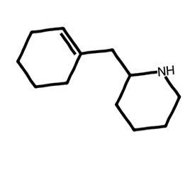 C1=C(CC2CCCCN2)CCCC1